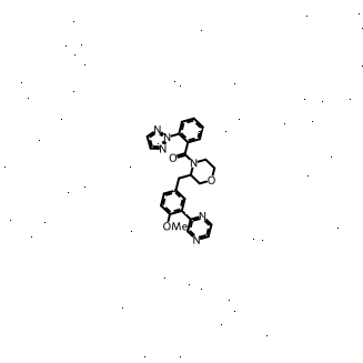 COc1ccc(CC2COCCN2C(=O)c2ccccc2-n2nccn2)cc1-c1cnccn1